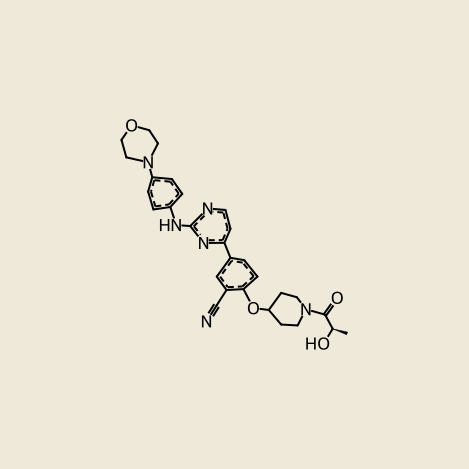 C[C@@H](O)C(=O)N1CCC(Oc2ccc(-c3ccnc(Nc4ccc(N5CCOCC5)cc4)n3)cc2C#N)CC1